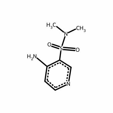 CN(C)S(=O)(=O)c1cnccc1N